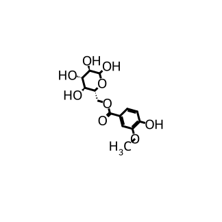 COc1cc(C(=O)OC[C@H]2OC(O)[C@H](O)[C@@H](O)[C@@H]2O)ccc1O